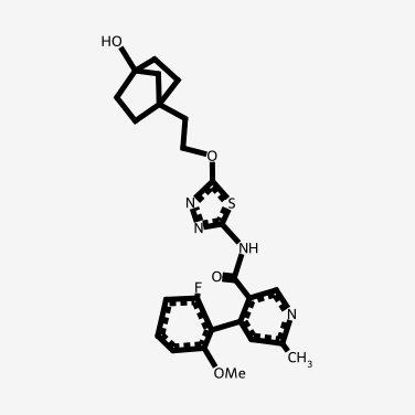 COc1cccc(F)c1-c1cc(C)ncc1C(=O)Nc1nnc(OCCC23CCC(O)(CC2)C3)s1